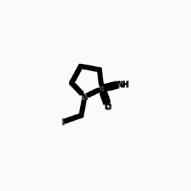 N=S1(=O)CCCN1CI